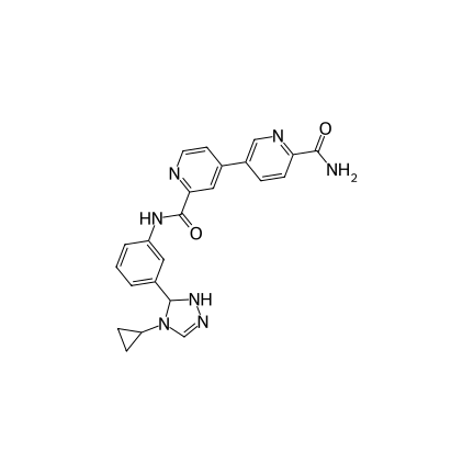 NC(=O)c1ccc(-c2ccnc(C(=O)Nc3cccc(C4NN=CN4C4CC4)c3)c2)cn1